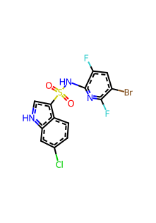 O=S(=O)(Nc1nc(F)c(Br)cc1F)c1c[nH]c2cc(Cl)ccc12